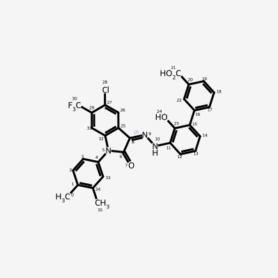 Cc1ccc(N2C(=O)/C(=N\Nc3cccc(-c4cccc(C(=O)O)c4)c3O)c3cc(Cl)c(C(F)(F)F)cc32)cc1C